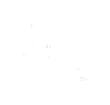 CCCc1c(OCCCCCC(=O)OC)ccc(C(C)=O)c1OCCCBr